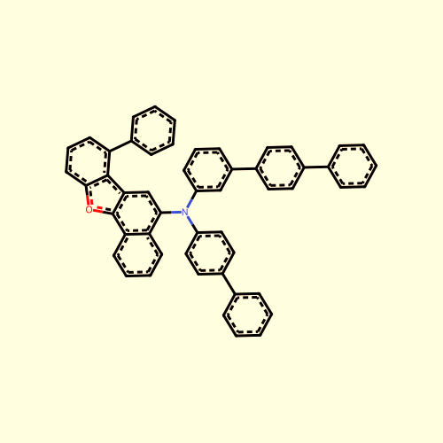 c1ccc(-c2ccc(-c3cccc(N(c4ccc(-c5ccccc5)cc4)c4cc5c(oc6cccc(-c7ccccc7)c65)c5ccccc45)c3)cc2)cc1